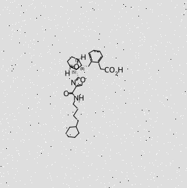 O=C(O)Cc1ccccc1C[C@@H]1[C@H](c2nc(C(=O)NCCCCC3CCCCC3)co2)[C@H]2CC[C@@H]1O2